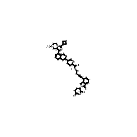 CC(=O)N1CCn2c(C3CCC3)nc(-c3cccc4cc(-c5ccc(C(=O)NCCC#Cc6cccc7c6CN(C6CCC(=O)NC6=O)C7=O)nc5)ncc34)c2C1